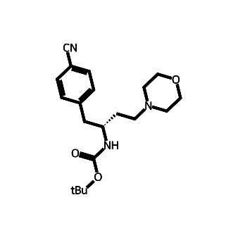 CC(C)(C)OC(=O)N[C@@H](CCN1CCOCC1)Cc1ccc(C#N)cc1